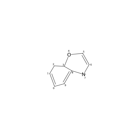 C1=CCC2OC=C[N]C2=C1